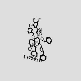 O=C1CCCC2(O[C@H](COCc3ccccc3)[C@H](OCc3ccccc3)[C@@H](n3cc(-c4cc(F)c(F)c(F)c4)nn3)[C@@H]2OCc2ccccc2)N1CC1CCS(O)(O)CC1